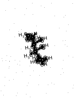 CC(=O)Nc1cc(N=Nc2cc(OCCCS(=O)(=O)O)c(N=Nc3c(C)c(C#N)c4nc5cc(C)cc(S(=O)(=O)O)c5n4c3O)cc2C)c(SCCCS(=O)(=O)O)cc1N=Nc1nc2c(S(=O)(=O)O)cc3c(S(=O)(=O)O)cc(S(=O)(=O)O)cc3c2s1